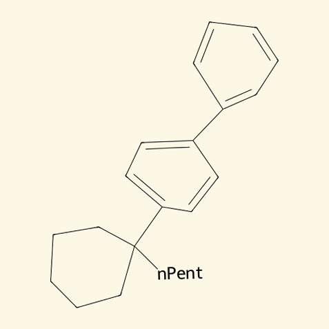 CCCCCC1(c2ccc(-c3ccccc3)cc2)CCCCC1